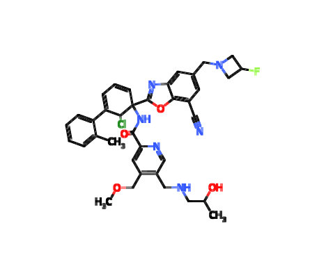 COCc1cc(C(=O)NC2(c3nc4cc(CN5CC(F)C5)cc(C#N)c4o3)C=CC=C(c3ccccc3C)C2Cl)ncc1CNCC(C)O